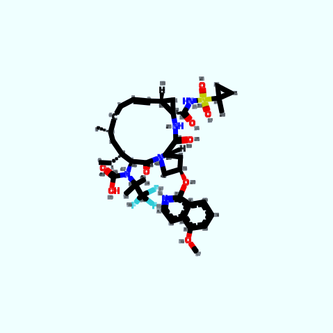 CC[C@@H]1C[C@H](C)CCC=C[C@@H]2C[C@@]2(C(=O)NS(=O)(=O)C2(C)CC2)NC(=O)[C@@H]2C[C@@H](Oc3nccc4c(OC)cccc34)CN2C(=O)[C@H]1N(C(=O)O)C(C)(C)C(F)(F)F